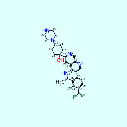 C[C@@H](Nc1ccnc2cnc(C3(O)CCC(N4CCNCC4)CC3)cc12)c1cccc(C(F)F)c1F